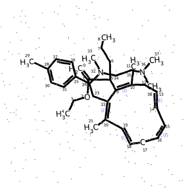 C=C(OCC)C(CCC)C1=C(\C)C/C=C/C=C\C/C=C/C(C)=C\1CC(c1ccc(C)cc1)N(C)CCN(C)C